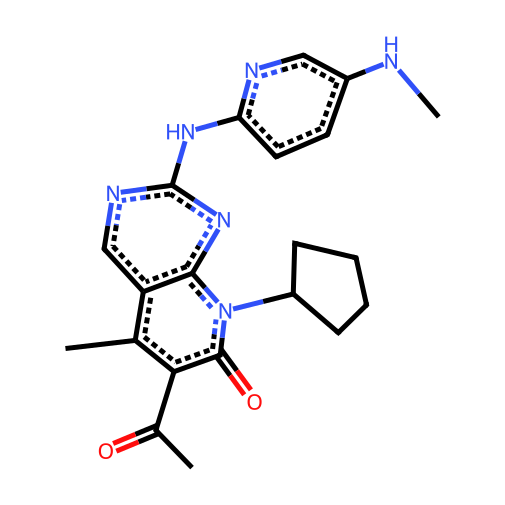 CNc1ccc(Nc2ncc3c(C)c(C(C)=O)c(=O)n(C4CCCC4)c3n2)nc1